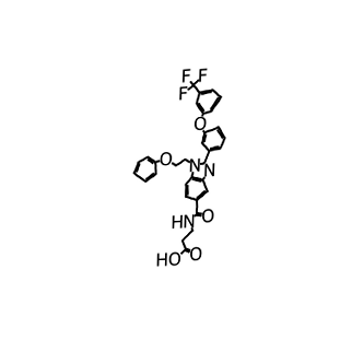 O=C(O)CCNC(=O)c1ccc2c(c1)nc(-c1cccc(Oc3cccc(C(F)(F)F)c3)c1)n2CCOc1ccccc1